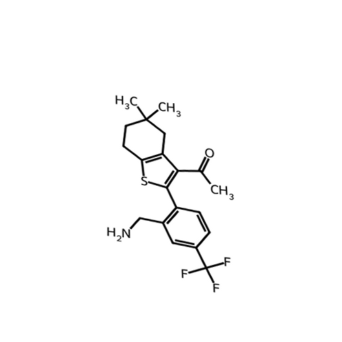 CC(=O)c1c(-c2ccc(C(F)(F)F)cc2CN)sc2c1CC(C)(C)CC2